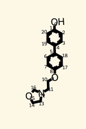 Oc1ccc(-c2ccc(OCCN3CCOC3)cc2)cc1